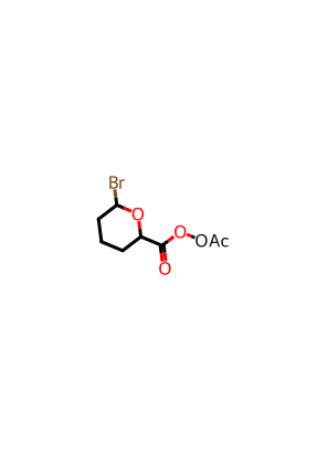 CC(=O)OOC(=O)C1CCCC(Br)O1